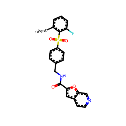 CCCCCc1cccc(F)c1S(=O)(=O)c1ccc(CNC(=O)c2cc3ccncc3o2)cc1